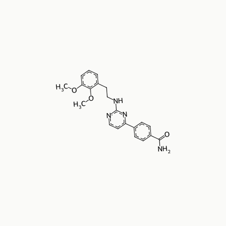 COc1cccc(CCNc2nccc(-c3ccc(C(N)=O)cc3)n2)c1OC